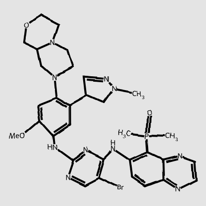 COc1cc(N2CCN3CCOCC3C2)c(C2C=NN(C)C2)cc1Nc1ncc(Br)c(Nc2ccc3nccnc3c2P(C)(C)=O)n1